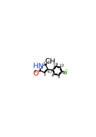 C=C1NC(=O)C=C1c1ccc(F)cc1